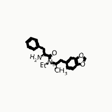 CCN(C(=O)[C@@H](N)Cc1ccccc1)[C@@H](C)Cc1ccc2c(c1)OCO2